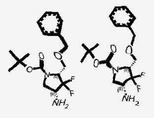 CC(C)(C)OC(=O)N1C[C@@H](N)C(F)(F)[C@H]1COCc1ccccc1.CC(C)(C)OC(=O)N1C[C@@H](N)C(F)(F)[C@H]1COCc1ccccc1